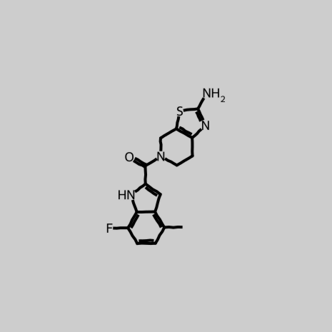 Cc1ccc(F)c2[nH]c(C(=O)N3CCc4nc(N)sc4C3)cc12